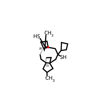 CC1CC23CC[C@@]2(CC[C@]24CCC2(CC(C)(S)C4)CC(S)(C2CCC2)C3)C1